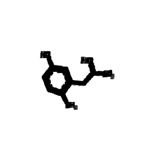 Nc1ccc(O)cc1CC(O)[N+](=O)[O-]